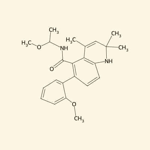 COc1ccccc1-c1ccc2c(c1C(=O)NC(C)OC)C(C)=CC(C)(C)N2